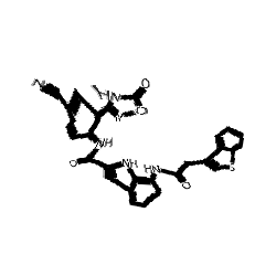 N#Cc1ccc(NC(=O)c2cc3cccc(NC(=O)Cc4csc5ccccc45)c3[nH]2)c(-c2noc(=O)[nH]2)c1